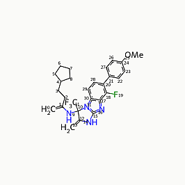 C=C(CCC1CCCC1)NC1(C(F)(F)F)C(=C)Nc2nc3c(F)c(-c4ccc(OC)cc4)ccc3n21